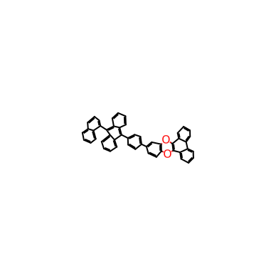 c1ccc2c(-c3c4ccccc4c(-c4ccc(-c5ccc6c(c5)Oc5c(c7ccccc7c7ccccc57)O6)cc4)c4ccccc34)cccc2c1